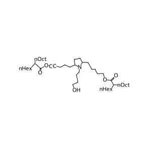 CCCCCCCCC(CCCCCC)C(=O)OCCCCCC1CCC(CCCCCOC(=O)C(CCCCCC)CCCCCCCC)N1CCCCO